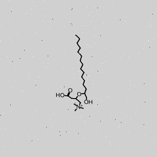 CCCCCCCCCCCCCCC(CO)OC(CC(=O)O)C[N+](C)(C)C